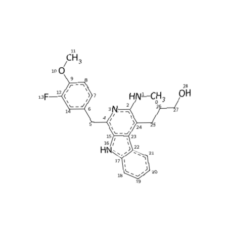 CNc1nc(Cc2ccc(OC)c(F)c2)c2[nH]c3ccccc3c2c1CCCO